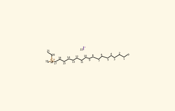 CCCCCCCCCCCCCCCCCC[S+](C)CC.[I-]